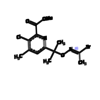 COC(=O)c1nc(C(C)(C)O/N=C(\C)Br)cc(C)c1Cl